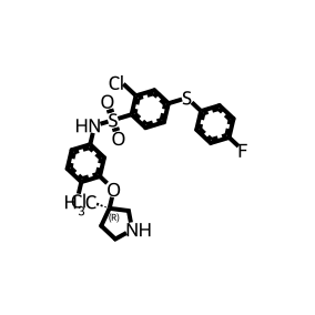 C[C@@]1(Oc2cc(NS(=O)(=O)c3ccc(Sc4ccc(F)cc4)cc3Cl)ccc2Cl)CCNC1